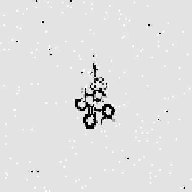 CCOC(=O)Oc1c2n(ncc1=O)[C@@H]([C@H](c1ccccc1)c1cccc(F)c1F)[C@H]1CCCN1C2=O